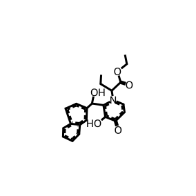 CCOC(=O)C(CC)n1ccc(=O)c(O)c1C(O)c1ccc2ccccc2c1